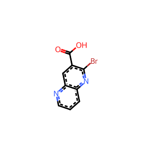 O=C(O)c1cc2ncccc2nc1Br